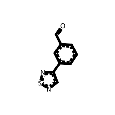 O=Cc1cccc(-c2cnsn2)c1